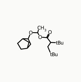 CC(OC(=O)C(CC(C)(C)C)C(C)(C)C)OC1CC2CCC1C2